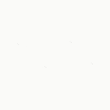 N#C/C(c1ccc(C#N)cc1)=c1/cc(-c2ccc(C(F)(F)F)cc2)/c(=C(\C#N)c2ccc(C#N)cc2)cc1-c1ccc(C(F)(F)F)cc1